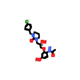 CC(=O)Nc1ccc(O)cc1OC[C@@H](O)CN1CCCN(Cc2ccc(Cl)cc2)C1=O